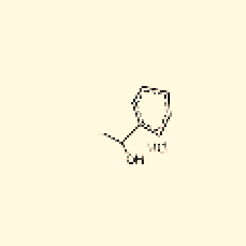 Cl.[CH2]C(O)c1ccccc1